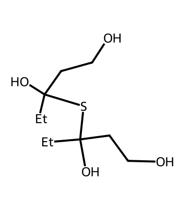 CCC(O)(CCO)SC(O)(CC)CCO